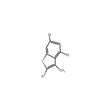 CCc1cc(CC)c2c(C)c(Br)sc2c1